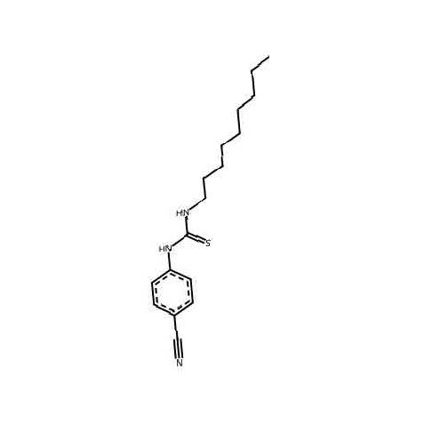 CCCCCCCCCNC(=S)Nc1ccc(C#N)cc1